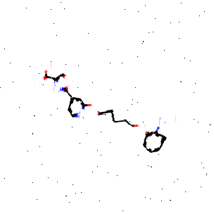 Nc1ccccc1OCCCCCOc1cc(-c2nc(C(=O)O)co2)ccn1